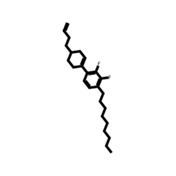 C=CCCC1CC=C(c2ccc(CCCCCCCCC)c(F)c2F)CC1